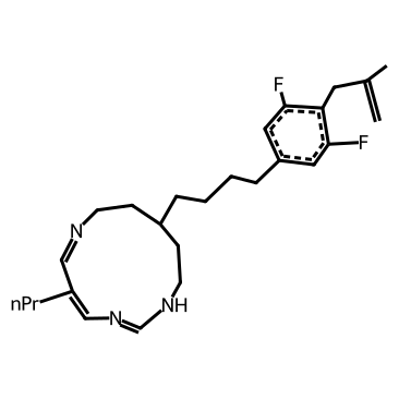 C=C(C)Cc1c(F)cc(CCCCC2CC\N=C/C(CCC)=C\N=C\NCC2)cc1F